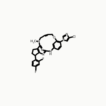 CN1C/C=C\COc2cc(ccc2-n2cnc(Cl)c2)Nc2nc3c(c1n2)CCC3c1ccc(F)cc1F